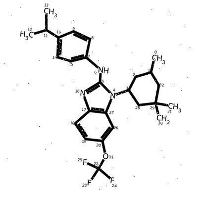 CC1CC(n2c(Nc3ccc(C(C)C)cc3)nc3ccc(OC(F)(F)F)cc32)CC(C)(C)C1